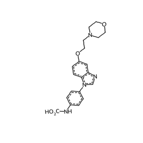 O=C(O)Nc1ccc(-n2cnc3cc(OCCN4CCOCC4)ccc32)cc1